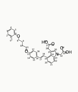 Cc1ccccc1OCCCCOc1ccc(C=Cc2cccc3c2c(CC(=O)O)cn3CC(=O)O)cc1